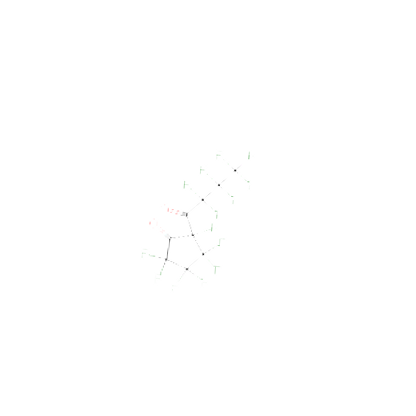 O=C(C(F)(F)C(F)(F)C(F)(F)F)C1(F)C(=O)C(F)(F)C(F)(F)C1(F)F